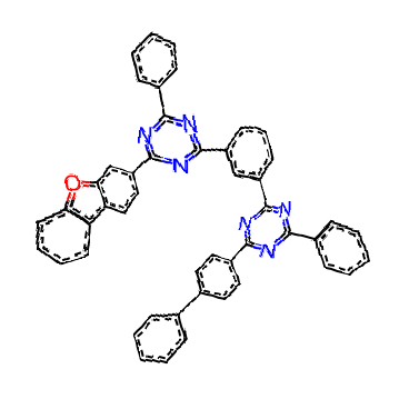 c1ccc(-c2ccc(-c3nc(-c4ccccc4)nc(-c4cccc(-c5nc(-c6ccccc6)nc(-c6ccc7c(c6)oc6ccccc67)n5)c4)n3)cc2)cc1